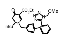 CCCCC1CC(=O)C(C(=O)OCC)=CN1Cc1ccc(-c2ccccc2-c2nnnn2COC)cc1